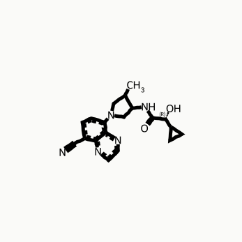 CC1CN(c2ccc(C#N)c3nccnc23)CC1NC(=O)[C@H](O)C1CC1